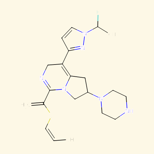 C=C(S/C=C\C)C1=NCC(c2ccn(C(C)F)n2)=C2CC(N3CCNCC3)CN12